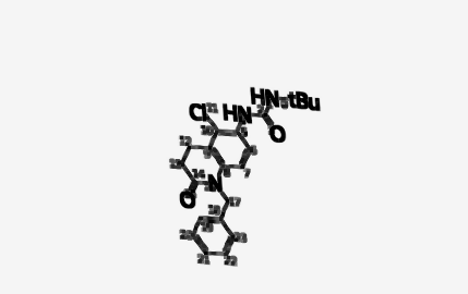 CC(C)(C)NC(=O)Nc1ccc2c(c1Cl)CCC(=O)N2Cc1ccccc1